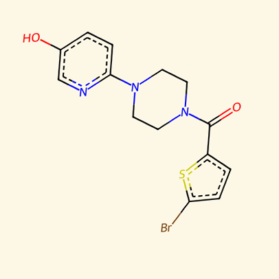 O=C(c1ccc(Br)s1)N1CCN(c2ccc(O)cn2)CC1